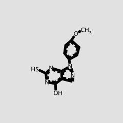 COc1ccc(-n2ncc3c(O)nc(S)nc32)cc1